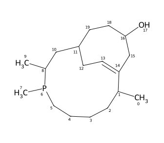 CC1CCCCP(C)C(C)CC2C/C=C\1CC(O)CC2